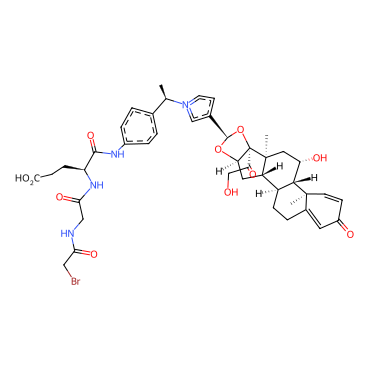 C[C@H](c1ccc(NC(=O)[C@H](CCC(=O)O)NC(=O)CNC(=O)CBr)cc1)n1ccc([C@@H]2O[C@@H]3C[C@H]4[C@@H]5CCC6=CC(=O)C=C[C@]6(C)[C@H]5[C@@H](O)C[C@]4(C)[C@]3(C(=O)CO)O2)c1